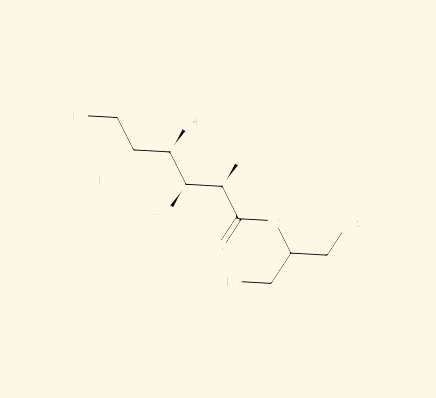 CC(=O)OCC(CO)OC(=O)[C@H](O)[C@@H](O)[C@H](O)[C@H](O)CO